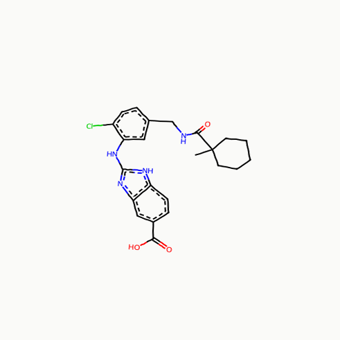 CC1(C(=O)NCc2ccc(Cl)c(Nc3nc4cc(C(=O)O)ccc4[nH]3)c2)CCCCC1